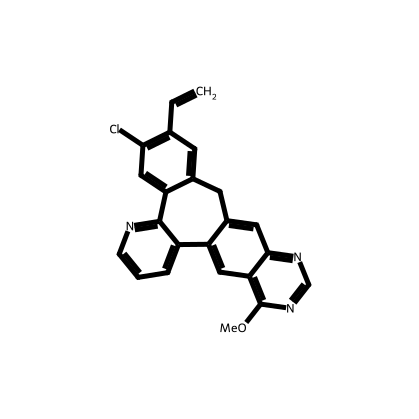 C=Cc1cc2c(cc1Cl)-c1ncccc1-c1cc3c(OC)ncnc3cc1C2